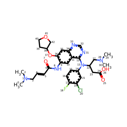 CN(C)C/C=C/C(=O)Nc1cc2c(N(c3ccc(F)c(Cl)c3)C(CC(=O)O)CN(C)C)ncnc2cc1OC1CCOC1